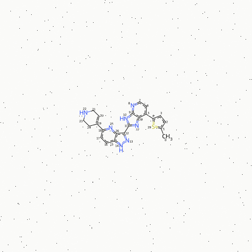 Cc1ccc(-c2ccnc3[nH]c(-c4n[nH]c5ccc(C6=CCNCC6)nc45)nc23)s1